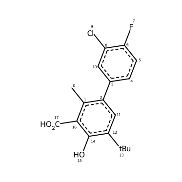 Cc1c(-c2ccc(F)c(Cl)c2)cc(C(C)(C)C)c(O)c1C(=O)O